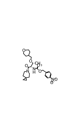 C[C@@H](OCC1CCOCC1)[C@H](NC(=O)OCc1ccc([N+](=O)[O-])cc1)C(=O)N1CCC2(CC1)CC2